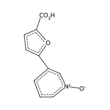 O=C(O)c1ccc(-c2ccc[n+]([O-])c2)o1